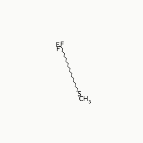 CCSCCCCCCCCCCCCCCCCCCC(F)(F)F